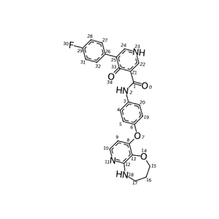 O=C(Nc1ccc(Oc2ccnc3c2OCCCN3)cc1)c1c[nH]cc(-c2ccc(F)cc2)c1=O